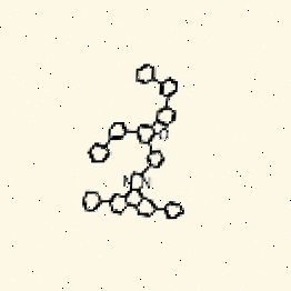 C1=CCCC(c2ccc3c4ccc(-c5ccccc5)cc4c4nc(-c5cccc(-c6cc(C7=CCCC(c8ccccc8)=C7)cc7c6oc6ccc(-c8cccc(-c9ccccc9)c8)cc67)c5)cnc4c3c2)=C1